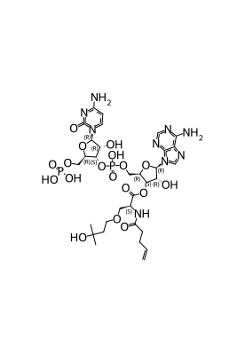 C=CCCC(=O)N[C@@H](COCCC(C)(C)O)C(=O)O[C@H]1[C@@H](O)[C@H](n2cnc3c(N)ncnc32)O[C@@H]1COP(=O)(O)O[C@H]1[C@@H](O)[C@H](n2ccc(N)nc2=O)O[C@@H]1COP(=O)(O)O